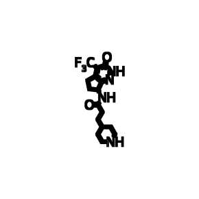 O=C(CCC1CCNCC1)NC1CCc2c1n[nH]c(=O)c2C(F)(F)F